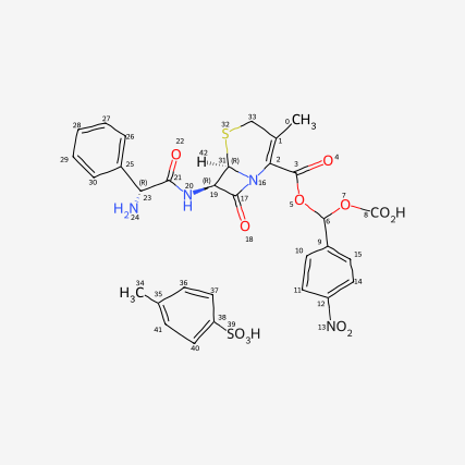 CC1=C(C(=O)OC(OC(=O)O)c2ccc([N+](=O)[O-])cc2)N2C(=O)[C@@H](NC(=O)[C@H](N)c3ccccc3)[C@H]2SC1.Cc1ccc(S(=O)(=O)O)cc1